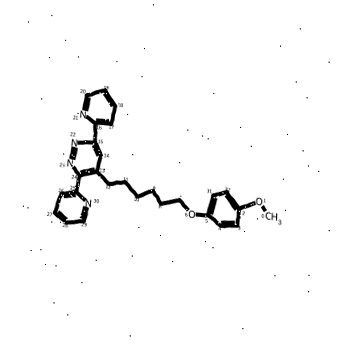 COc1ccc(OCCCCCCc2cc(-c3ccccn3)nnc2-c2ccccn2)cc1